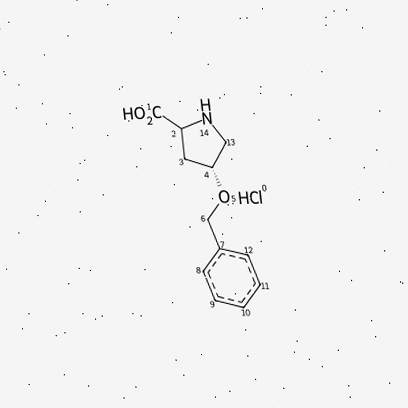 Cl.O=C(O)C1C[C@@H](OCc2ccccc2)CN1